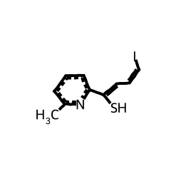 Cc1cccc(/C(S)=C/C=C\I)n1